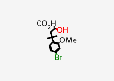 COc1cc(Br)ccc1C(C)(C)CC(O)C(=O)O